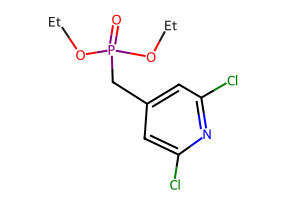 CCOP(=O)(Cc1cc(Cl)nc(Cl)c1)OCC